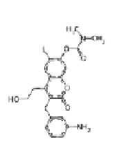 CN(C)C(=O)Oc1cc2oc(=O)c(Cc3cccc(N)c3)c(CCO)c2cc1I